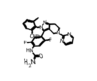 Cc1cccc(OCC(C)C)c1-n1nc2c(c1-c1cc(F)c(NC(N)=O)cc1F)CN(c1ncccn1)CC2